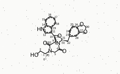 C[C@H](CO)N1CC(=O)N2C(=C(c3c[nH]c4ccccc34)O[C@H]2Cc2ccc3c(c2)OCO3)C1=O